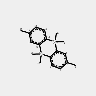 Cc1ccc2c(c1)[Si](C)(C)c1ccc(C)cc1[Si]2(C)C